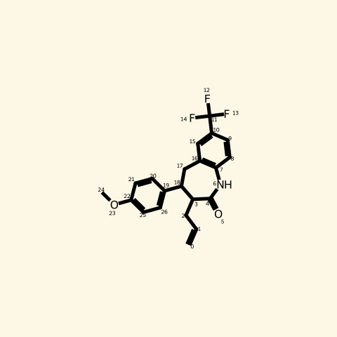 C=CCC1C(=O)Nc2ccc(C(F)(F)F)cc2CC1c1ccc(OC)cc1